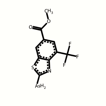 COC(=O)c1cc(C(F)(F)F)c2nc([AsH2])sc2c1